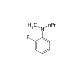 [CH2]CCN(C)c1ccccc1F